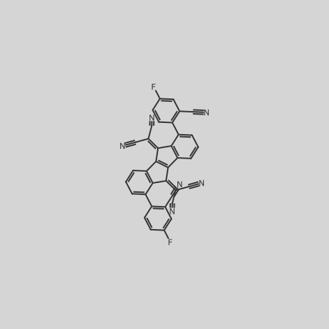 N#CC(C#N)=C1C2=C(C(=C(C#N)C#N)c3c2cccc3-c2ccc(F)cc2C#N)c2cccc(-c3ccc(F)cc3C#N)c21